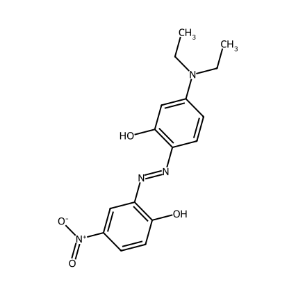 CCN(CC)c1ccc(N=Nc2cc([N+](=O)[O-])ccc2O)c(O)c1